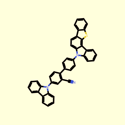 N#Cc1cc(-n2c3ccccc3c3ccccc32)ccc1-c1ccc(-n2c3ccccc3c3c4sc5ccccc5c4ccc32)cc1